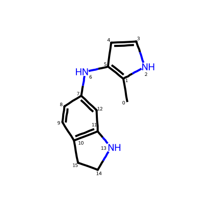 Cc1[nH]ccc1Nc1ccc2c(c1)NCC2